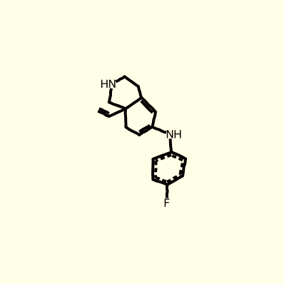 C=CC12CC=C(Nc3ccc(F)cc3)C=C1CCNC2